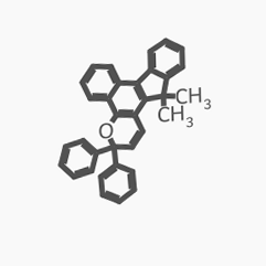 CC1(C)c2ccccc2-c2c1c1c(c3ccccc23)OC(c2ccccc2)(c2ccccc2)C=C1